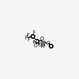 Cn1c(-c2cc(F)cc(C(F)(F)F)c2)cc(C(=O)NCCOc2ccccc2)c(O)c1=O